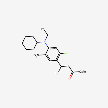 CCC(CC(=O)OC)c1cc([N+](=O)[O-])c(N(CC(C)C)C2CCCCC2)cc1F